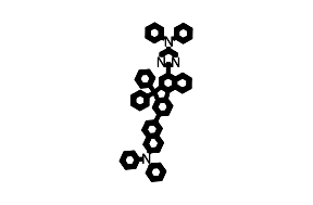 c1ccc(N(c2ccccc2)c2cnc(-c3cc4c(c5ccccc35)-c3ccc(-c5ccc6cc(N(c7ccccc7)c7ccccc7)ccc6c5)cc3C4(c3ccccc3)c3ccccc3)nc2)cc1